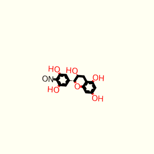 O=Nc1c(O)cc([C@H]2Oc3cc(O)cc(O)c3C[C@H]2O)cc1O